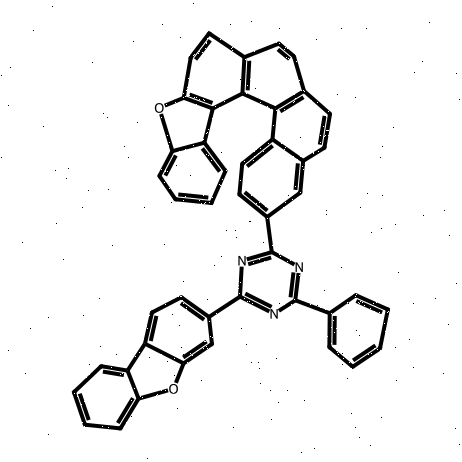 c1ccc(-c2nc(-c3ccc4c(ccc5ccc6ccc7oc8ccccc8c7c6c54)c3)nc(-c3ccc4c(c3)oc3ccccc34)n2)cc1